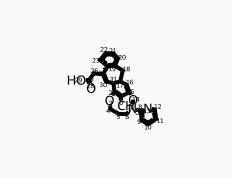 CC1=C2OCCCN(c3ccccn3)OC1=CC1Cc3ccccc3C(CC(=O)O)=CC21